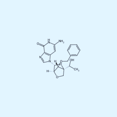 CC(O)[C@@]12CO[C@@H]([C@H](n3cnc4c(=O)[nH]c(N)cc43)O1)[C@@H]2OCc1ccccc1